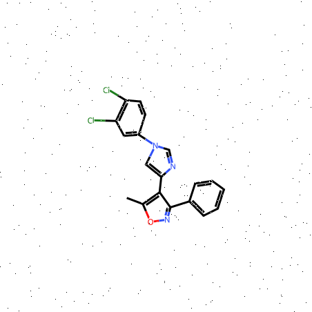 Cc1onc(-c2ccccc2)c1-c1cn(-c2ccc(Cl)c(Cl)c2)cn1